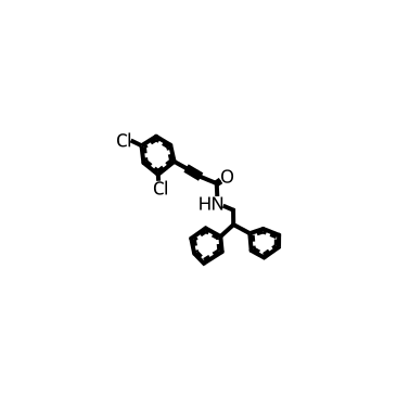 O=C(C#Cc1ccc(Cl)cc1Cl)NCC(c1ccccc1)c1ccccc1